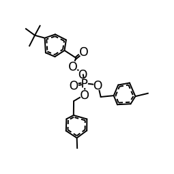 Cc1ccc(COP(=O)(OCc2ccc(C)cc2)OOC(=O)c2ccc(C(C)(C)C)cc2)cc1